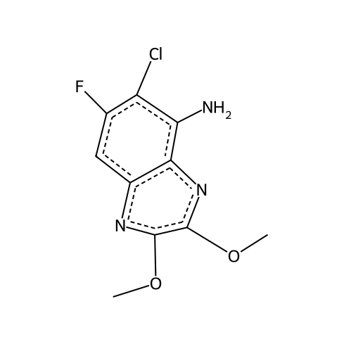 COc1nc2cc(F)c(Cl)c(N)c2nc1OC